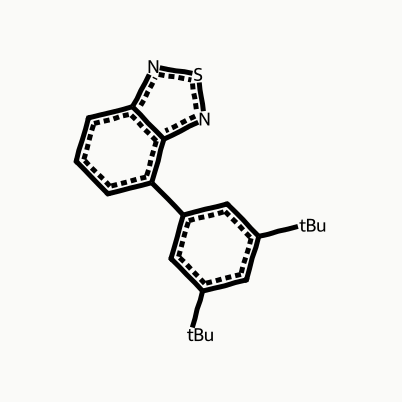 CC(C)(C)c1cc(-c2cccc3nsnc23)cc(C(C)(C)C)c1